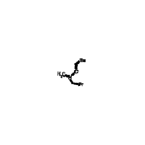 CC(C)CN(C)OCC(C)(C)C